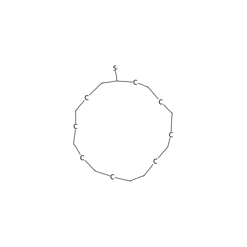 [S]C1CCCCCCCCCCCCCCCCC1